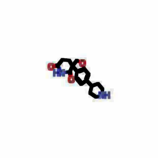 O=C1CCC2(COc3cc(C4CCNCC4)ccc32)C(=O)N1